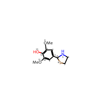 COc1cc(C2NCCS2)cc(OC)c1O